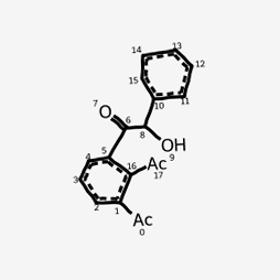 CC(=O)c1cccc(C(=O)C(O)c2ccccc2)c1C(C)=O